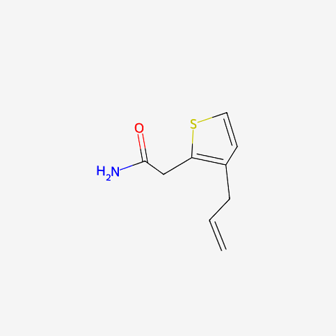 C=CCc1ccsc1CC(N)=O